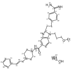 CCOCCCn1c(CCc2ccc(C(=N)N)cc2)nc2cc(C(=O)NN3CCN(CC=Cc4ccccc4)CC3)ccc21.Cl.Cl.Cl